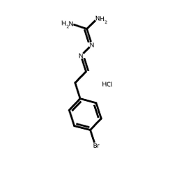 Cl.NC(N)=NN=CCc1ccc(Br)cc1